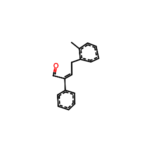 Cc1ccccc1CC=C(C=O)c1ccccc1